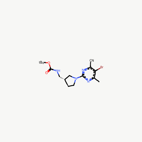 Cc1nc(N2CC[C@H](CNC(=O)OC(C)(C)C)C2)nc(C#N)c1Br